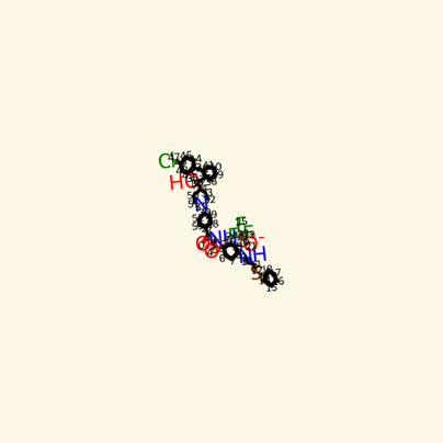 O=C(N[S+]([O-])c1ccc(NCCSc2ccccc2)c([S+]([O-])C(F)(F)F)c1)c1ccc(N2CCC([C@@H](O)c3ccccc3-c3ccc(Cl)cc3)CC2)cc1